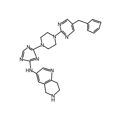 c1ccc(Cc2cnc(N3CCN(c4ncnc(Nc5cnc6c(c5)CNCC6)n4)CC3)nc2)cc1